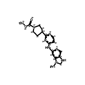 CC(C)N1CNc2cnc(Nc3ccnc(C4CCN(C(=O)OC(C)(C)C)CC4)n3)cc21